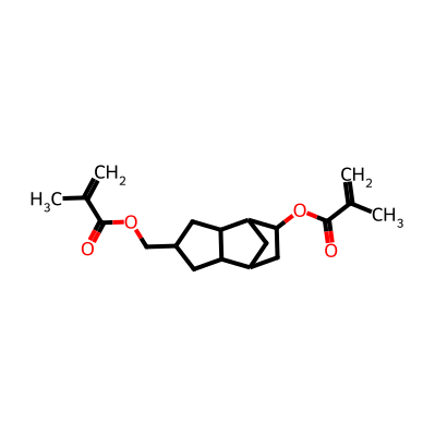 C=C(C)C(=O)OCC1CC2C3CC(OC(=O)C(=C)C)C(C3)C2C1